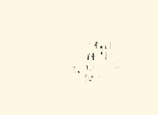 CCCCCCCCCCCCCCNC(=O)C[C@@H]1CCCN1C(=O)c1ccc(C(=O)N2C[C@@H](C(=O)NC)[C@H](C(=O)N[C@H]3C[C@@H]3c3ccccc3)C2)cc1